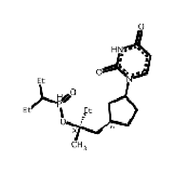 CCC(CC)[PH](=O)O[C@@](C)(CC)C[C@@H]1CCC(n2ccc(=O)[nH]c2=O)C1